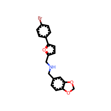 Brc1ccc(-c2ccc(CNCc3ccc4c(c3)OCO4)o2)cc1